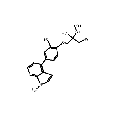 CC(C)CC(C)(COc1ccc(-c2ncnc3c2ccn3C)cc1C#N)NC(=O)O